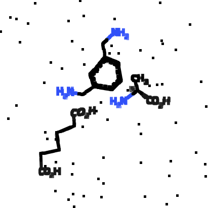 C[C@H](N)C(=O)O.NCc1cccc(CN)c1.O=C(O)CCCCC(=O)O